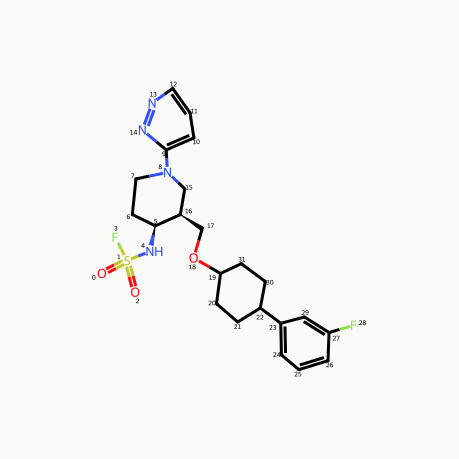 O=S(=O)(F)N[C@H]1CCN(c2cccnn2)C[C@H]1COC1CCC(c2cccc(F)c2)CC1